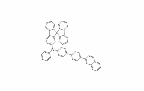 c1ccc(N(c2ccc(-c3ccc(-c4ccc5ccccc5c4)cc3)cc2)c2ccc3c(c2)C2(c4ccccc4-c4ccccc42)c2ccccc2-3)cc1